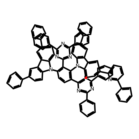 c1ccc(-c2ccc3c(c2)c2cc(-c4ccccc4)ccc2n3-c2ccc(-c3nc(-c4ccccc4)nc(-c4ccccc4)n3)c(-n3c4ccc(-c5ccccc5)cc4c4cc(-c5cccc(-c6ccccc6)n5)ccc43)c2-c2nc(-c3ccccc3)nc(-c3ccccc3)n2)cc1